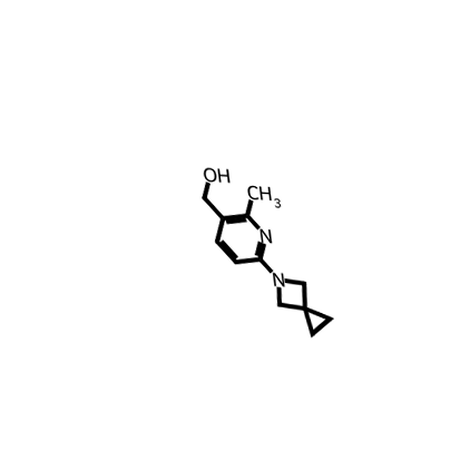 Cc1nc(N2CC3(CC3)C2)ccc1CO